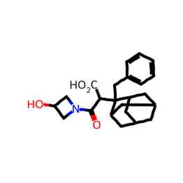 O=C(O)C(C(=O)N1CC(O)C1)C1(Cc2ccccc2)C2CC3CC(C2)CC1C3